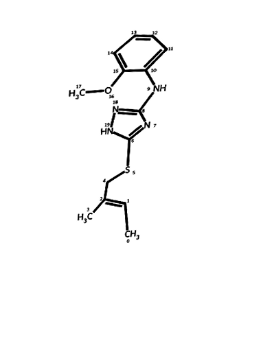 CC=C(C)CSc1nc(Nc2ccccc2OC)n[nH]1